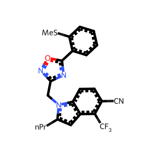 CCCc1cc2c(C(F)(F)F)c(C#N)ccc2n1Cc1noc(-c2ccccc2SC)n1